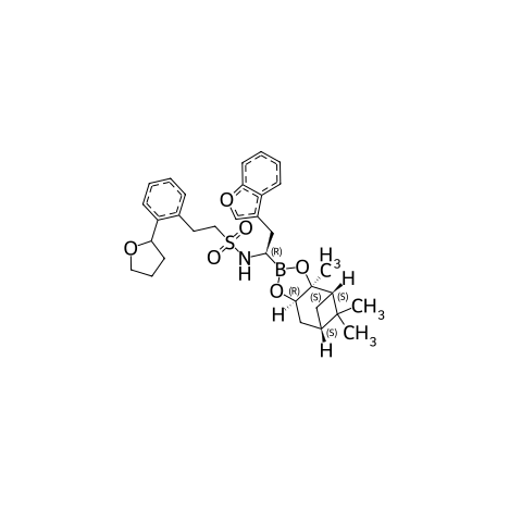 CC1(C)[C@@H]2C[C@H]3OB([C@H](Cc4coc5ccccc45)NS(=O)(=O)CCc4ccccc4C4CCCO4)O[C@@]3(C)[C@H]1C2